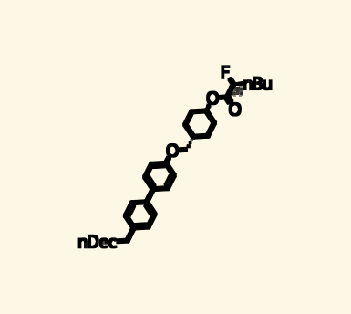 CCCCCCCCCCCc1ccc(-c2ccc(OC[C@H]3CC[C@H](OC(=O)[C@@H](F)CCCC)CC3)cc2)cc1